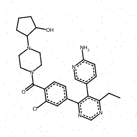 CCc1ncnc(-c2ccc(C(=O)N3CCN(C4CCCC4O)CC3)c(Cl)c2)c1-c1ccc(N)nc1